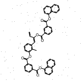 C=C/C(=C\c1cccc(OC(=O)c2cccc(C(=O)Oc3cccc4ccccc34)c2)c1C)OC(=O)c1cccc(C(=O)Oc2cccc3ccccc23)c1